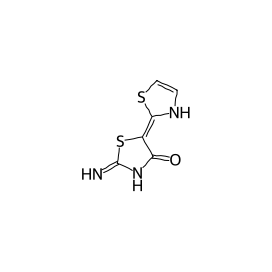 N=C1NC(=O)/C(=C2\NC=CS2)S1